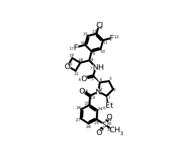 CC[C@@H]1CC[C@H](C(=O)NC(c2cc(F)c(Cl)cc2F)C2COC2)N1C(=O)c1cccc(S(C)(=O)=O)c1